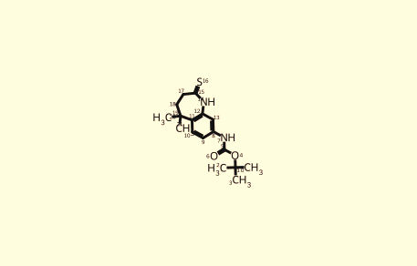 CC(C)(C)OC(=O)Nc1ccc2c(c1)NC(=S)CCC2(C)C